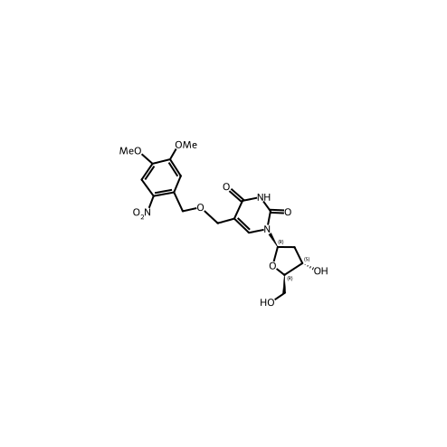 COc1cc(COCc2cn([C@H]3C[C@H](O)[C@@H](CO)O3)c(=O)[nH]c2=O)c([N+](=O)[O-])cc1OC